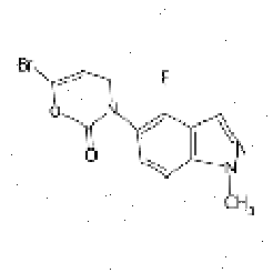 Cn1ncc2c(F)c(N3CC=C(Br)OC3=O)ccc21